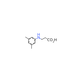 Cc1cc(C)cc(NCCC(=O)O)c1